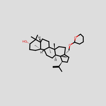 C=C(C)[C@@H]1CC[C@]2(COC3CCCCO3)CC[C@]3(C)[C@H](CC[C@@H]4[C@@]5(C)CC[C@H](O)C(C)(C)[C@@H]5CC[C@]43C)[C@@H]12